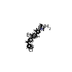 C=C(N)O/C(=N\C)c1ccc(N2C[C@H](CC)N(C3CCN(C(=C)c4ccc(Cl)c(F)c4)CC3)C[C@H]2C)c(C)n1